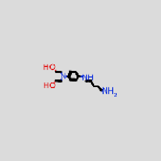 NCCCCCNc1ccc(N(CCO)CCO)cc1